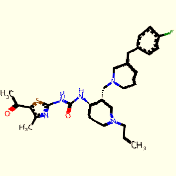 CCCN1CC[C@@H](NC(=O)Nc2nc(C)c(C(C)=O)s2)[C@H](CN2CCCC(Cc3ccc(F)cc3)C2)C1